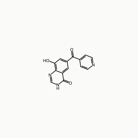 O=C(c1ccncc1)c1cc(O)c2nc[nH]c(=O)c2c1